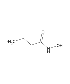 [CH2]CCC(=O)NO